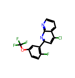 Fc1ccc(OC(F)(F)F)cc1-c1cc(Cl)c2cccnc2n1